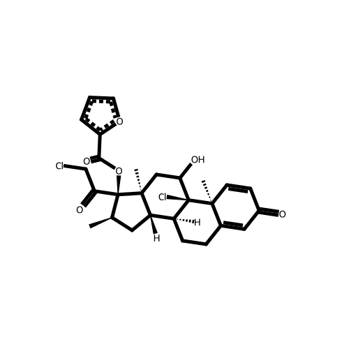 C[C@@H]1C[C@H]2[C@@H]3CCC4=CC(=O)C=C[C@]4(C)[C@@]3(Cl)C(O)C[C@]2(C)[C@@]1(OC(=O)c1ccco1)C(=O)CCl